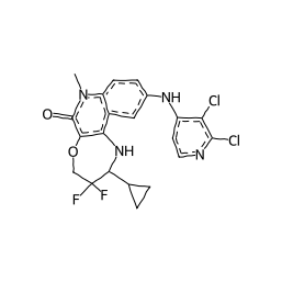 Cn1c(=O)c2c(c3cc(Nc4ccnc(Cl)c4Cl)ccc31)NC(C1CC1)C(F)(F)CO2